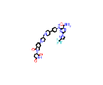 NC(=O)c1ncc(-n2ccc(C(F)(F)F)n2)nc1Nc1ccc(C2CCN(C[C@H]3CCN(c4ccc5c(c4)CN(C4CCC(=O)NC4=O)C5=O)C3)CC2)cc1